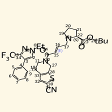 CCn1cc(-c2ccccc2[C@@H]2CN(C(=O)/C=C/CN3CCC[C@H]3C(=O)OC(C)(C)C)Cc3sc(C#N)cc32)c(C(F)(F)F)n1